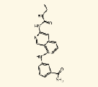 CCNC(=O)Nc1cc2cccc(Nc3cccc(C(N)=O)c3)c2cn1